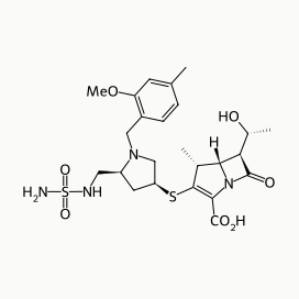 COc1cc(C)ccc1CN1C[C@@H](SC2=C(C(=O)O)N3C(=O)[C@H]([C@@H](C)O)[C@H]3[C@H]2C)C[C@H]1CNS(N)(=O)=O